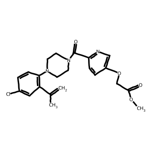 C=C(C)c1cc(Cl)ccc1N1CCN(C(=O)c2ccc(OCC(=O)OC)cn2)CC1